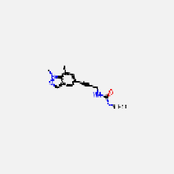 Cc1cc(C#CCNC(=O)NC=O)cc2cnn(C)c12